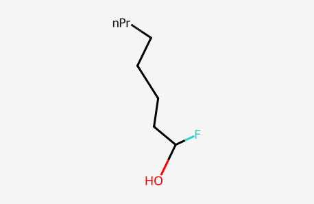 CCCCCCCC(O)F